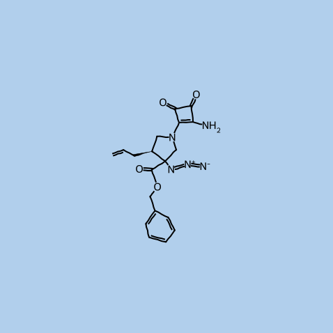 C=CC[C@H]1CN(c2c(N)c(=O)c2=O)CC1(N=[N+]=[N-])C(=O)OCc1ccccc1